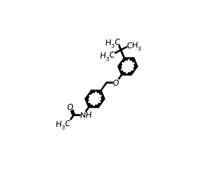 CC(=O)Nc1ccc(COc2cccc(C(C)(C)C)c2)cc1